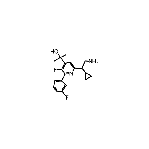 CC(C)(O)c1cc(C(CN)C2CC2)nc(-c2cccc(F)c2)c1F